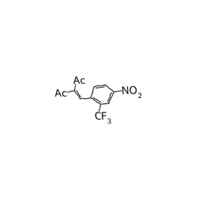 CC(=O)C(=Cc1ccc([N+](=O)[O-])cc1C(F)(F)F)C(C)=O